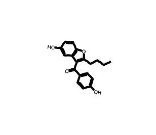 CCCCc1oc2ccc(O)cc2c1C(=O)c1ccc(O)cc1